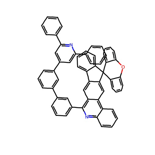 c1ccc(-c2cc(-c3cccc(-c4cccc(-c5nc6ccccc6c6cc7c(cc56)-c5ccccc5C75c6ccccc6Oc6ccccc65)c4)c3)cc(-c3ccccc3)n2)cc1